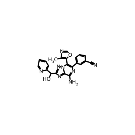 Cc1ncoc1-c1c(-c2cccc(C#N)c2)nc(N)c2nc(C(O)c3ccccn3)nn12